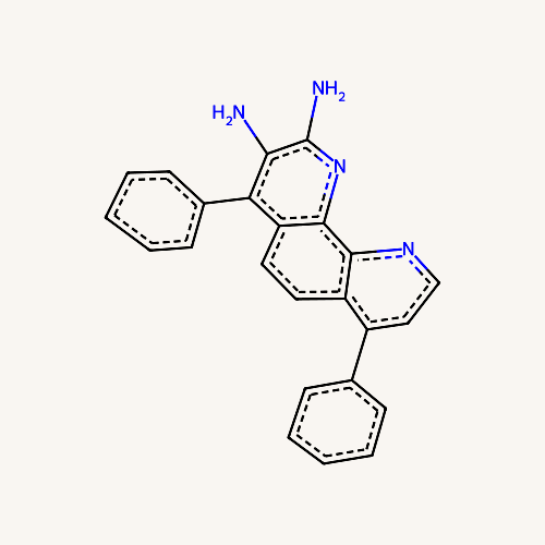 Nc1nc2c(ccc3c(-c4ccccc4)ccnc32)c(-c2ccccc2)c1N